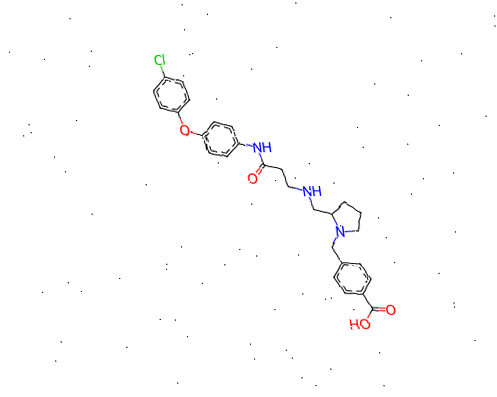 O=C(CCNCC1CCCN1Cc1ccc(C(=O)O)cc1)Nc1ccc(Oc2ccc(Cl)cc2)cc1